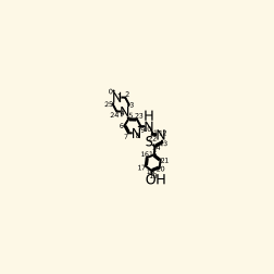 CN1CCN(c2ccnc(Nc3ncc(-c4ccc(O)cc4)s3)c2)CC1